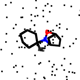 [C-]#[N+]C1(N2OC3CCC2C3)CCCCC1